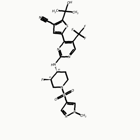 Cn1cc(S(=O)(=O)N2CC[C@@H](Nc3ncc(C(F)(F)F)c(-c4cc(C#N)c(C(C)(C)O)s4)n3)[C@H](F)C2)cn1